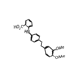 COc1ccc(CCc2ccc(Nc3ccccc3C(=O)O)cc2)cc1OC